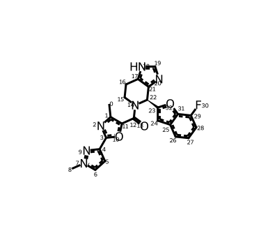 Cc1nc(-c2ccn(C)n2)oc1C(=O)N1CCc2[nH]cnc2[C@H]1c1cc2cccc(F)c2o1